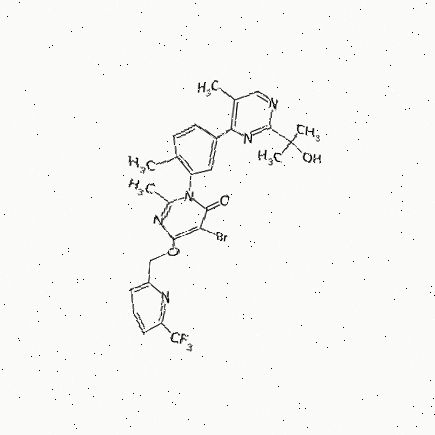 Cc1ccc(-c2nc(C(C)(C)O)ncc2C)cc1-n1c(C)nc(OCc2cccc(C(F)(F)F)n2)c(Br)c1=O